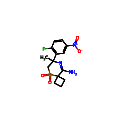 CC1(c2cc([N+](=O)[O-])ccc2F)CS(=O)(=O)C2(CCC2)C(N)=N1